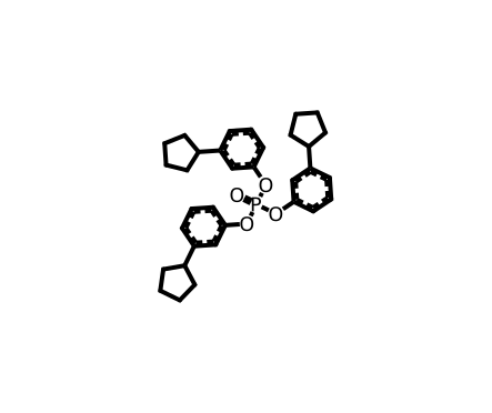 O=P(Oc1cccc(C2CCCC2)c1)(Oc1cccc(C2CCCC2)c1)Oc1cccc(C2CCCC2)c1